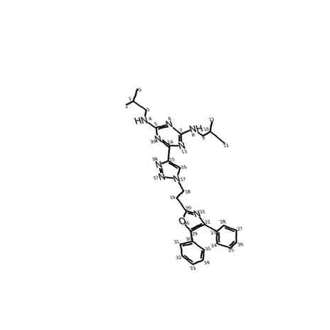 CC(C)CNc1nc(NCC(C)C)nc(-c2cn(CCc3nc(-c4ccccc4)c(-c4ccccc4)o3)nn2)n1